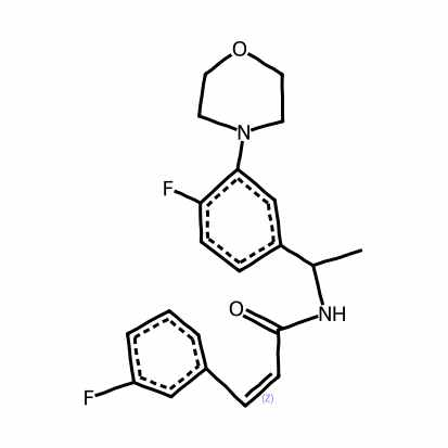 CC(NC(=O)/C=C\c1cccc(F)c1)c1ccc(F)c(N2CCOCC2)c1